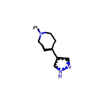 CC(C)N1CCC(c2cn[nH]c2)CC1